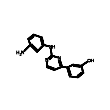 Nc1cccc(Nc2nccc(-c3cccc(O)c3)n2)c1